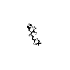 COC(=O)[C@H](Cc1cnc[nH]1)NCCC1OCC(C)(C)CO1